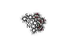 N#Cc1c(C#N)c(-n2c3ccccc3c3cc4sc5ccccc5c4cc32)c(-n2c3ccccc3c3ccccc32)c(-n2c3ccccc3c3ccccc32)c1-n1c2ccccc2c2ccccc21